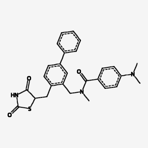 CN(Cc1cc(-c2ccccc2)ccc1CC1SC(=O)NC1=O)C(=O)c1ccc(N(C)C)cc1